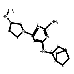 CN[C@@H]1CCN(c2cc(NC3CC4CCC3C4)nc(N)n2)C1